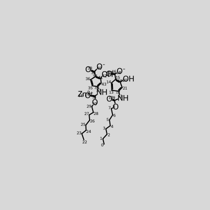 CCCCCCCCOC(=O)Nc1ccc(C(=O)[O-])c(O)c1.CCCCCCCCOC(=O)Nc1ccc(C(=O)[O-])c(O)c1.[Zn+2]